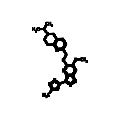 COc1cc2nnc(-c3cc(C)on3)n2nc1OCc1ccc2c(n1)CCN(C(C)C)C2